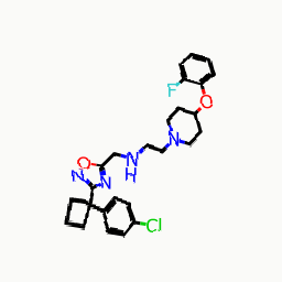 Fc1ccccc1OC1CCN(CCNCc2nc(C3(c4ccc(Cl)cc4)CCC3)no2)CC1